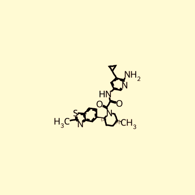 Cc1nc2cc([C@@H]3CC[C@@H](C)CN3C(=O)C(=O)Nc3cnc(N)c(C4CC4)c3)ccc2s1